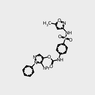 CCCc1c(OC(=O)Nc2ccc(S(=O)(=O)Nc3cc(C)on3)cc2)cnn1-c1ccccc1